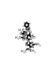 CCN(C)c1nc(N)nc2c1ncn2[C@@H]1O[C@]2(CCl)C(O[P@](=O)(N[C@@H](C)C(=O)OC(C)C)Oc3ccccc3)[C@]2(O)[C@@H]1F